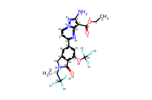 CCOC(=O)c1c(N)nn2ccc(-c3cc4c(c(OC(F)(F)F)c3)C(=O)N([C@@H](C)C(F)(F)F)C4)nc12